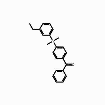 CCc1cccc([Si](C)(C)c2ccc(C(=O)c3ccccc3)cc2)c1